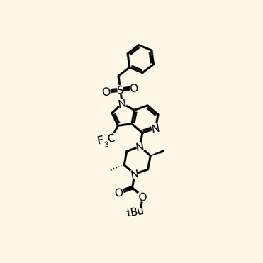 C[C@@H]1CN(c2nccc3c2c(C(F)(F)F)cn3S(=O)(=O)Cc2ccccc2)[C@@H](C)CN1C(=O)OC(C)(C)C